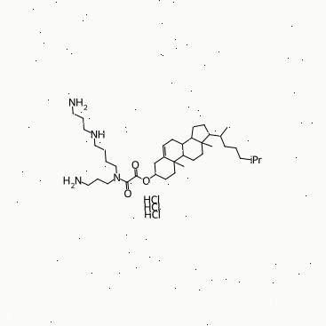 CC(C)CCCC(C)C1CCC2C3CC=C4CC(OC(=O)C(=O)N(CCCN)CCCCNCCCN)CCC4(C)C3CCC12C.Cl.Cl.Cl